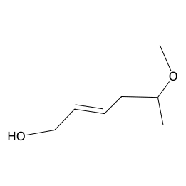 COC(C)CC=CCO